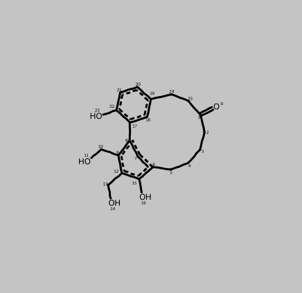 O=C1CCCCc2cc(c(CO)c(CO)c2O)-c2cc(ccc2O)CC1